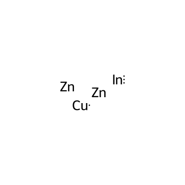 [Cu].[In].[Zn].[Zn]